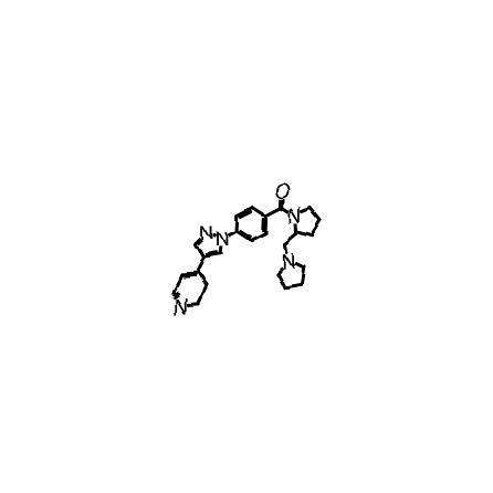 O=C(c1ccc(-n2cc(C3=CC=NCC3)cn2)cc1)N1CCCC1CN1CCCC1